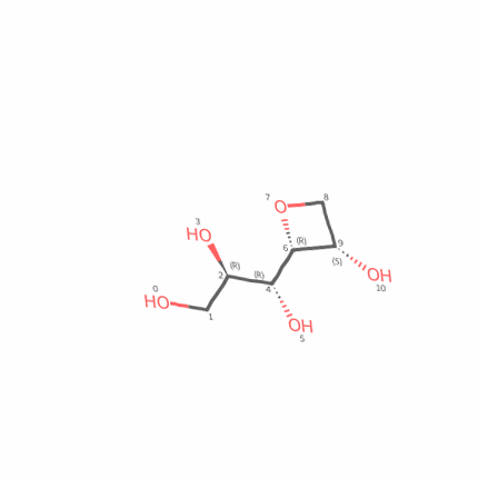 OC[C@@H](O)[C@@H](O)[C@@H]1OC[C@@H]1O